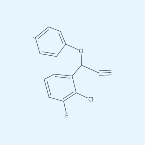 C#CC(Oc1cc[c]cc1)c1cccc(F)c1Cl